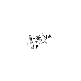 CCCCCCC(C)(CCC)C1CCN(C(C)=O)CC1